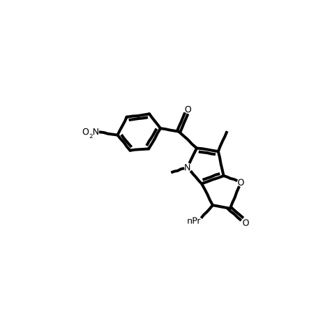 CCCC1C(=O)Oc2c(C)c(C(=O)c3ccc([N+](=O)[O-])cc3)n(C)c21